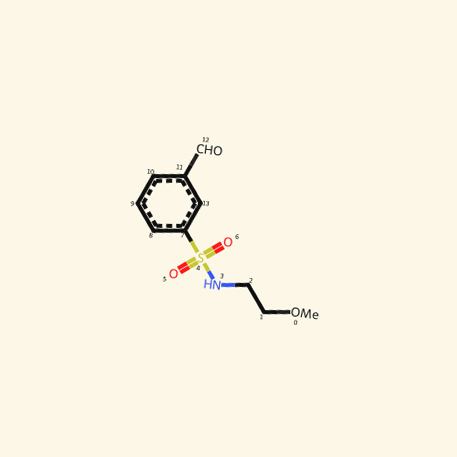 COCCNS(=O)(=O)c1cccc(C=O)c1